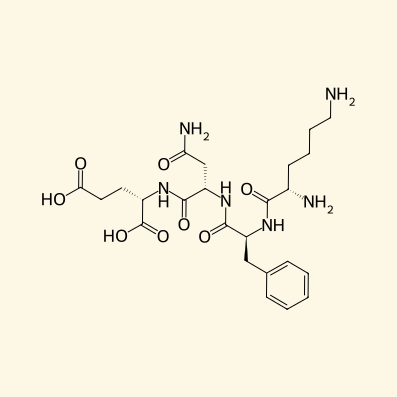 NCCCC[C@H](N)C(=O)N[C@@H](Cc1ccccc1)C(=O)N[C@@H](CC(N)=O)C(=O)N[C@@H](CCC(=O)O)C(=O)O